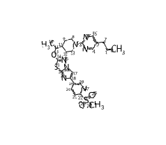 CCCc1cnc(N2CCC([C@H](C)Oc3nn4cc(-c5ccc(S(C)(=O)=O)nc5)nc4s3)CC2)nc1